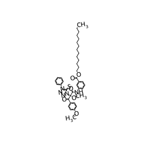 CCCCCCCCCCCCCCOC(=O)c1cccc(NC(=O)C(OC)(C(=O)c2ccc(OC)cc2)n2nnn(-c3ccccc3)c2=S)c1